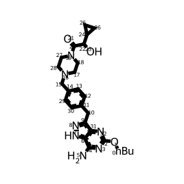 CCCCOc1nc(N)c2[nH]nc(Cc3ccc(CN4CCN(C(=O)C(O)C5CC5)CC4)cc3)c2n1